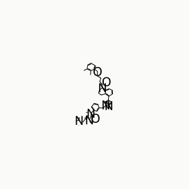 Cc1cccc(OCCCC(=O)N2CCCc3c(-c4cnn(Cc5cccc(N(C)C(=O)N(C)CC[N+](C)(C)C)c5)c4)cccc32)c1C